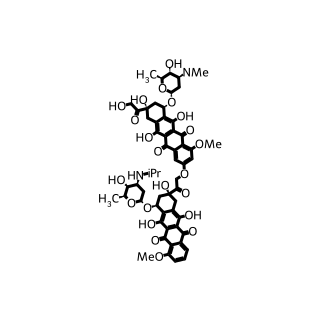 CN[C@H]1C[C@H](O[C@H]2C[C@](O)(C(=O)CO)Cc3c(O)c4c(c(O)c32)C(=O)c2c(OC)cc(OCC(=O)[C@]3(O)Cc5c(O)c6c(c(O)c5[C@@H](O[C@H]5C[C@H](NC(C)C)[C@H](O)[C@H](C)O5)C3)C(=O)c3c(OC)cccc3C6=O)cc2C4=O)O[C@@H](C)[C@@H]1O